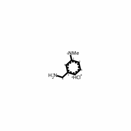 CNc1cccc(CN)c1.Cl